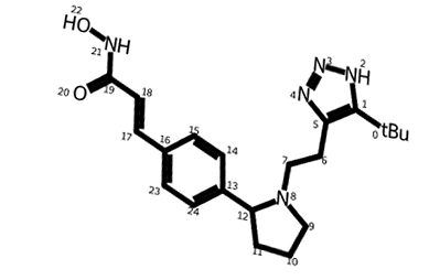 CC(C)(C)c1[nH]nnc1CCN1CCCC1c1ccc(C=CC(=O)NO)cc1